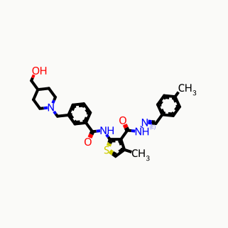 Cc1ccc(/C=N/NC(=O)c2c(C)csc2NC(=O)c2cccc(CN3CCC(CO)CC3)c2)cc1